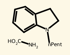 CCCCCN1CCc2ccccc21.NC(=O)O